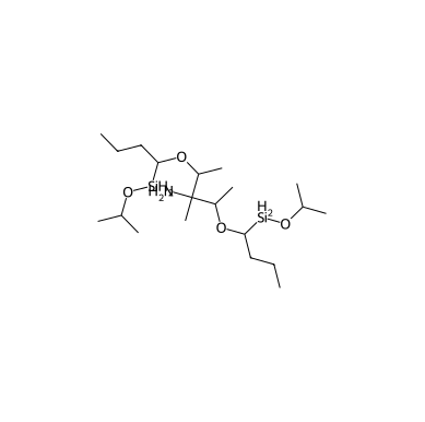 CCCC(OC(C)C(C)(N)C(C)OC(CCC)[SiH2]OC(C)C)[SiH2]OC(C)C